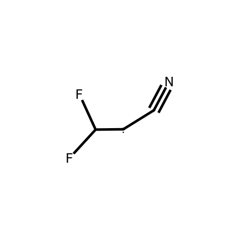 N#C[CH]C(F)F